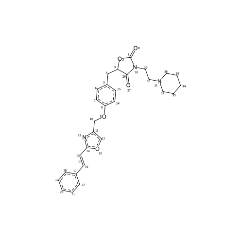 O=C1OC(Cc2ccc(OCc3coc(/C=C/c4ccccc4)n3)cc2)C(=O)N1CCN1CCCCC1